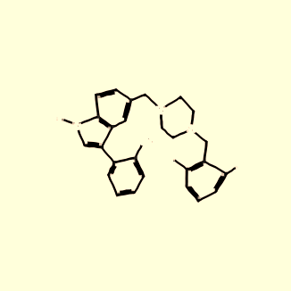 CCCCn1cc(-c2ccccc2C#N)c2cc(CN3CCN(Cc4c(Cl)cccc4Cl)CC3)ccc21